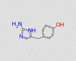 Nc1ncc(Cc2ccc(O)cc2)[nH]1